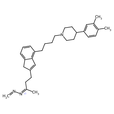 C=N/N=C(/C)CCC1=Cc2c(CCCCN3CCC(c4ccc(C)c(C)c4)CC3)cccc2C1